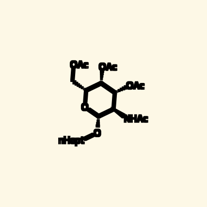 CCCCCCCO[C@@H]1O[C@H](COC(C)=O)[C@H](OC(C)=O)[C@H](OC(C)=O)[C@H]1NC(C)=O